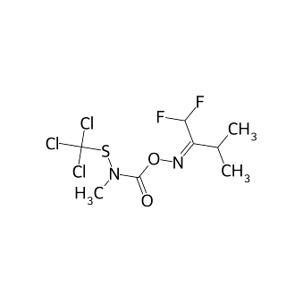 CC(C)C(=NOC(=O)N(C)SC(Cl)(Cl)Cl)C(F)F